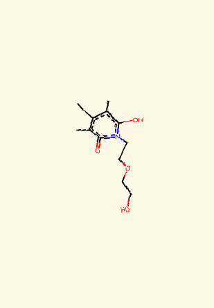 Cc1c(C)c(O)n(CCOCCO)c(=O)c1C